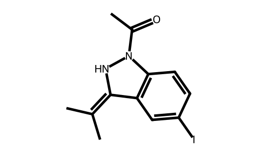 CC(=O)N1NC(=C(C)C)c2cc(I)ccc21